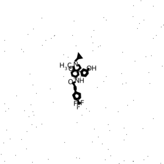 CO[C@]12CC[C@@H](NC(=O)C#Cc3ccc(C(F)(F)F)cc3)C[C@]1(c1cccc(O)c1)CCN(CC1CC1)C2